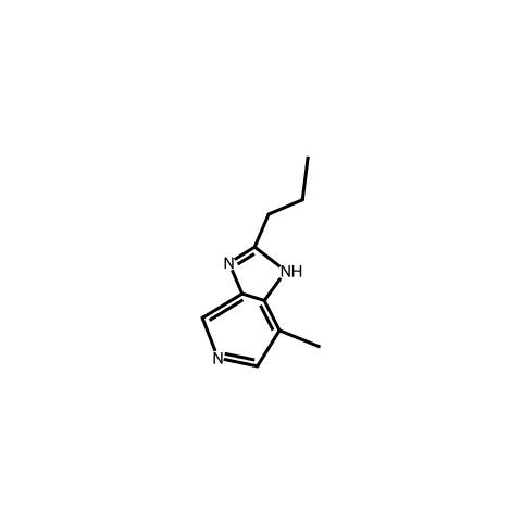 CCCc1nc2cncc(C)c2[nH]1